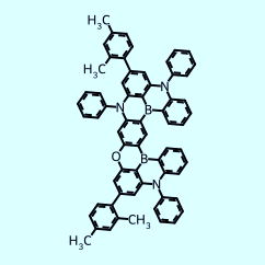 Cc1ccc(-c2cc3c4c(c2)N(c2ccccc2)c2ccccc2B4c2cc4c(cc2O3)N(c2ccccc2)c2cc(-c3ccc(C)cc3C)cc3c2B4c2ccccc2N3c2ccccc2)c(C)c1